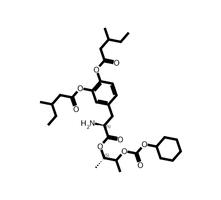 CCC(C)CC(=O)Oc1ccc(C[C@H](N)C(=O)O[C@@H](C)C(C)OC(=O)OC2CCCCC2)cc1OC(=O)CC(C)CC